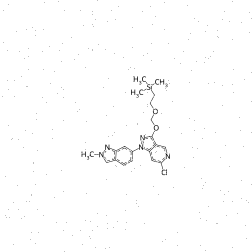 Cn1cc2ccc(-n3nc(OCOCC[Si](C)(C)C)c4cnc(Cl)cc43)cc2n1